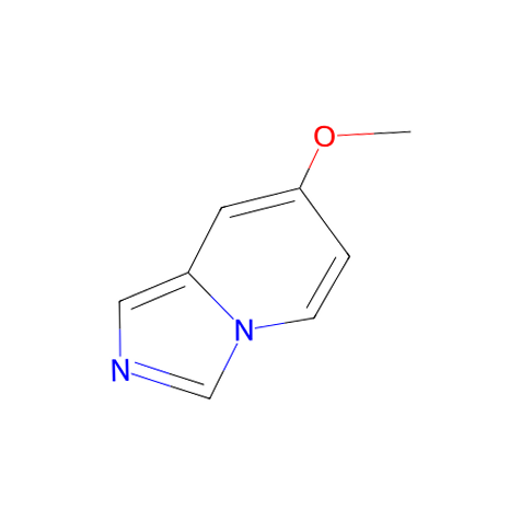 COc1ccn2cncc2c1